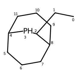 CCC1PC2CCCC1CCC2